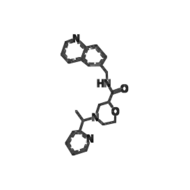 CC(c1ccccn1)N1CCOC(C(=O)NCc2ccc3ncccc3c2)C1